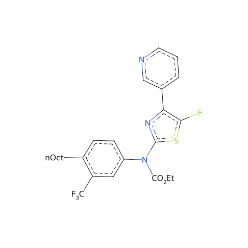 [CH2]COC(=O)N(c1ccc(CCCCCCCC)c(C(F)(F)F)c1)c1nc(-c2cccnc2)c(F)s1